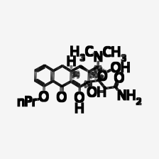 CCCOc1cccc2c1C(=O)C1=C(O)[C@](O)(C(=O)CC(N)=O)[C@H]([C@@H](CO)N(C)C)C[C@@H]1C2